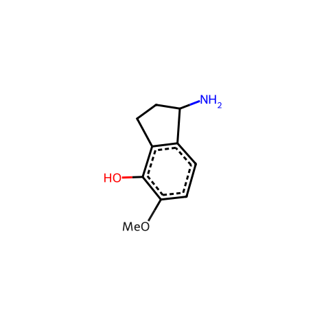 COc1ccc2c(c1O)CCC2N